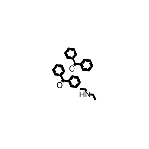 CCNCC.O=C(c1ccccc1)c1ccccc1.O=C(c1ccccc1)c1ccccc1